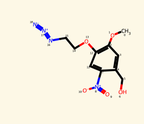 COc1cc(CO)c([N+](=O)[O-])cc1OCCN=[N+]=[N-]